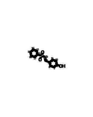 O=S(=O)(N=Cc1ccc(O)cc1)c1ccccc1